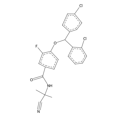 CC(C)(C#N)NC(=O)c1ccc(OC(c2ccc(Cl)cc2)c2ccccc2Cl)c(F)c1